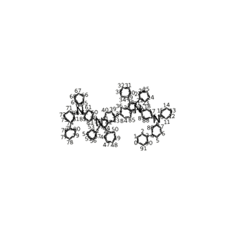 c1ccc(-c2cccc(N(c3ccccc3)c3ccc(-n4c(-c5ccccc5)c(-c5ccccc5)c5cc(-c6ccc7c(c6)c(-c6ccccc6)c(-c6ccccc6)n7-c6ccc(N(c7ccccc7)c7cccc(-c8ccccc8)c7)cc6)ccc54)cc3)c2)cc1